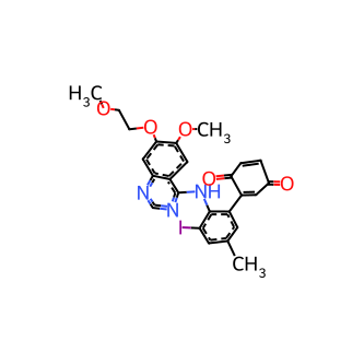 COCCOc1cc2ncnc(Nc3c(I)cc(C)cc3C3=CC(=O)C=CC3=O)c2cc1OC